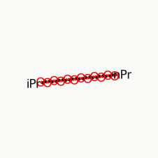 CCCOCCOCCOCCOCCOCCOCCOCCOCCOCCOCCOCCOC(C)C